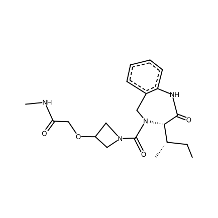 CC[C@H](C)[C@H]1C(=O)Nc2ccccc2CN1C(=O)N1CC(OCC(=O)NC)C1